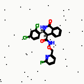 O=C1N[C@@H](c2ccc(Cl)cc2Cl)[C@H](C(=O)NOCc2cccc(F)n2)c2ccccc21